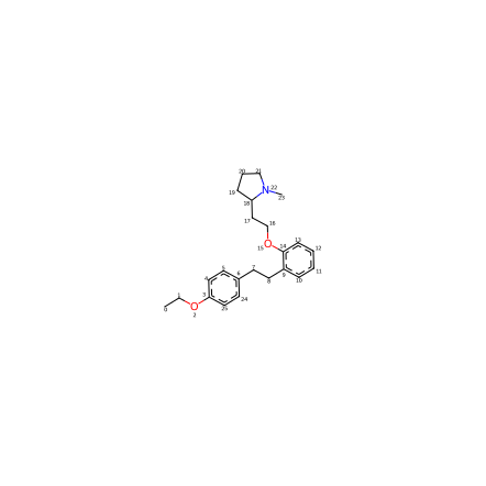 CCOc1ccc(CCc2ccccc2OCCC2CCCN2C)cc1